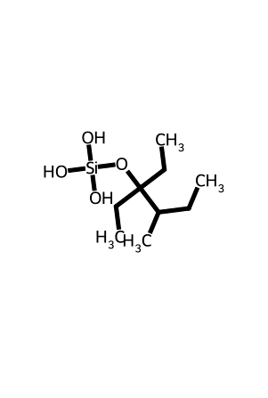 CCC(C)C(CC)(CC)O[Si](O)(O)O